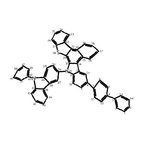 c1ccc(-c2ccc(-c3ccc4c(c3)c3c5ccccc5c5c6ccccc6sc5c3n4-c3ccc4c(c3)c3ccccc3n4-c3ccccc3)cc2)cc1